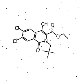 CCOC(=O)c1c(O)c2cc(Cl)c(Cl)cc2c(=O)n1CC(C)(C)C